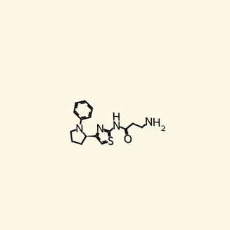 NCCC(=O)Nc1nc([C@H]2CCCN2c2ccccc2)cs1